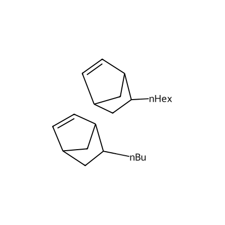 CCCCC1CC2C=CC1C2.CCCCCCC1CC2C=CC1C2